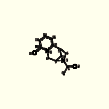 [CH2]C(=O)N1CC2CC1Cn1c2cccc1=O